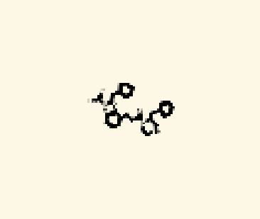 CCC(=O)NC(Cc1ccccc1)Oc1ccccc1CCC(=O)N1CCNCC1Cc1ccccc1